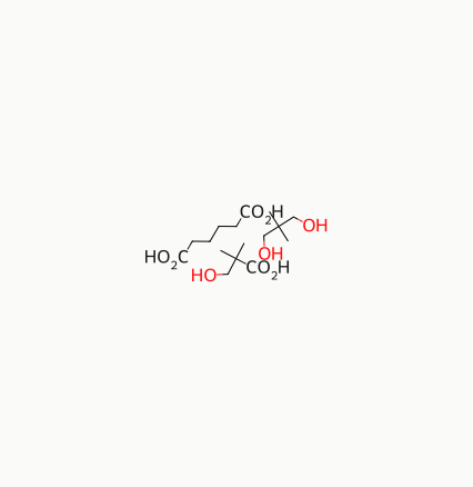 CC(C)(CO)C(=O)O.CC(C)(CO)CO.O=C(O)CCCCC(=O)O